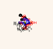 CC(C)(C)OC(=O)Nc1nc(/C(=N/OC(C)(C)C(=O)OC(C)(C)C)C(=O)N[C@@H]2C(=O)N(S(=O)(=O)O)[C@@H]2CNC(=O)NCc2cc(=O)c(OCc3ccccc3)cn2OCc2ccccc2)cs1